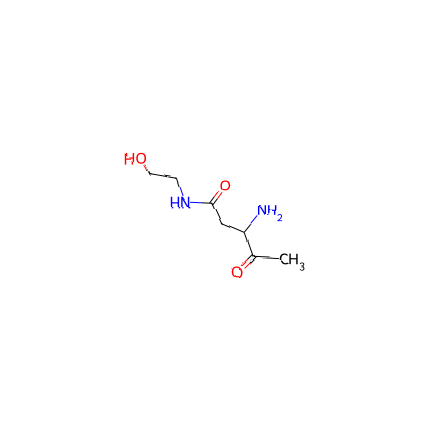 CC(=O)C(N)CC(=O)NCCO